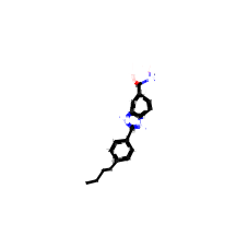 CCCCc1ccc(-c2nc3ccc(C(=O)NO)cc3[nH]2)cc1